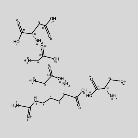 N=C(N)NCCC[C@H](N)C(=O)O.NCC(=O)O.NCC(=O)O.N[C@@H](CC(=O)O)C(=O)O.N[C@@H](CO)C(=O)O